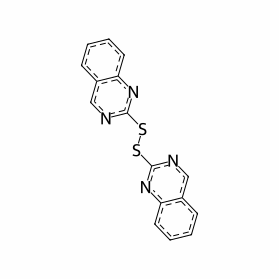 c1ccc2nc(SSc3ncc4ccccc4n3)ncc2c1